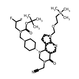 CC(C)(C)OC(=O)N(CC(F)F)C[C@H]1CC[C@H](N2CN(CC#N)C(=O)c3cnc4c(ccn4COCC[Si](C)(C)C)c32)CC1